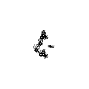 O=C(Nc1cccc(C(=O)N=C2C=CC3=CC(S(=O)(=O)[O-])=CC(S(=O)(=O)[O-])C3=C2)c1)Nc1cccc(C(=O)N=C2C=CC3=CC(S(=O)(=O)[O-])=CC(S(=O)(=O)[O-])C3=C2)c1.[Na+].[Na+].[Na+].[Na+]